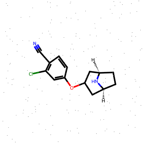 N#Cc1ccc(OC2C[C@H]3CC[C@@H](C2)N3)cc1Cl